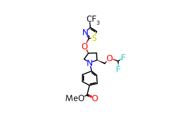 COC(=O)c1ccc(N2C[C@@H](Oc3nc(C(F)(F)F)cs3)C[C@H]2COC(F)F)cc1